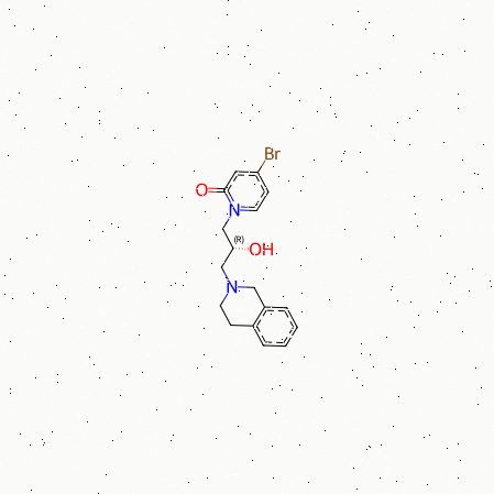 O=c1cc(Br)ccn1C[C@H](O)CN1CCc2ccccc2C1